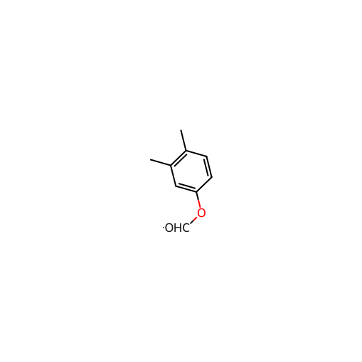 Cc1ccc(O[C]=O)cc1C